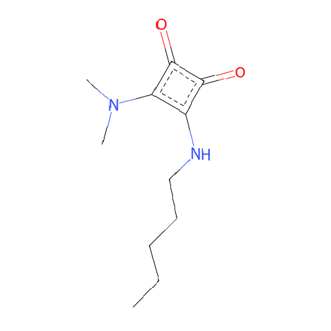 CCCCCNc1c(N(C)C)c(=O)c1=O